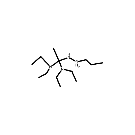 CCC[SiH2]NC(C)(N(CC)CC)N(CC)CC